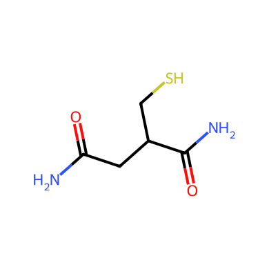 NC(=O)CC(CS)C(N)=O